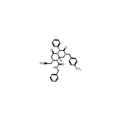 C#CCN1CC(=O)N2[C@@H](c3ccccc3)C(=O)N(Cc3ccc(C)cc3)C[C@@H]2N1C(=O)NCc1ccccc1